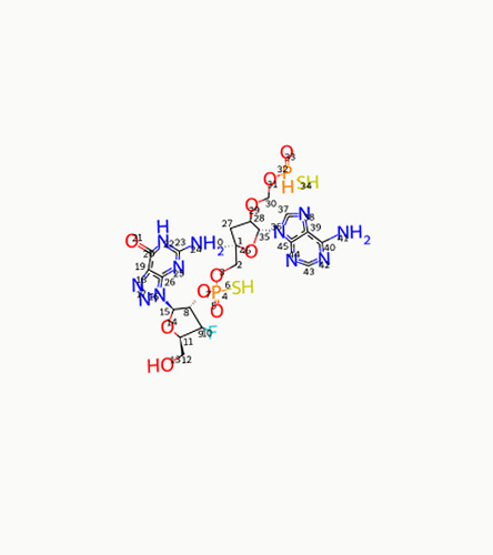 C[C@]1(COP(=O)(S)O[C@@H]2[C@@H](F)[C@@H](CO)O[C@H]2n2nnc3c(=O)[nH]c(N)nc32)C[C@@H](OCO[PH](=O)S)[C@H](n2cnc3c(N)ncnc32)O1